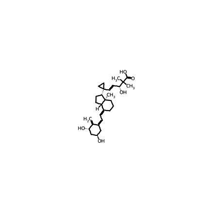 C=C1/C(=C\C=C2/CCC[C@]3(C)[C@@H](C4(/C=C/[C@@H](O)C(C)(C)C(=O)O)CC4)CC[C@@H]23)C[C@@H](O)C[C@@H]1O